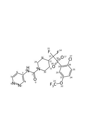 O=C(Nc1ccnnc1)N1CCC(C(F)(F)S(=O)(=O)c2cc(OC(F)(F)F)ccc2Cl)CC1